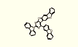 c1ccc2c(c1)oc1ccc(-c3nc(-n4c5ccccc5c5ccccc54)nc4oc5cc6c(cc5c34)sc3ccccc36)cc12